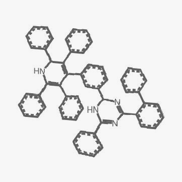 c1ccc(C2=NC(c3ccccc3-c3ccccc3)=NC(c3cccc(C4=C(c5ccccc5)C(c5ccccc5)NC(c5ccccc5)=C4c4ccccc4)c3)N2)cc1